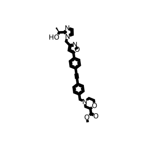 COC(=O)C1CN(Cc2ccc(C#Cc3ccc(-c4cc(Cn5ccnc5[C@H](C)O)no4)cc3)cc2)CCO1